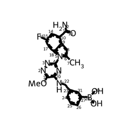 COc1nnc(-n2c(C)cc3c(C(N)=O)cc(F)cc32)nc1NCc1cccc(B(O)O)c1